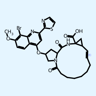 COc1ccc2c(OC3CC4C(=O)NC5(C(=O)O)CC5/C=C/CCCCCCC(=O)N4C3)cc(-c3nccs3)nc2c1Br